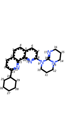 c1cc2ccc3ccc(N4CCCN5CCCN=C54)nc3c2nc1C1CCCCC1